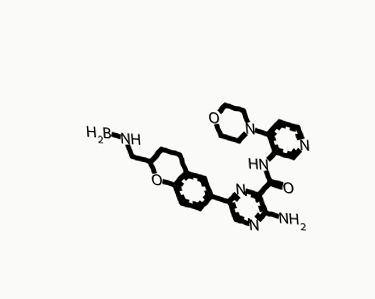 BNCC1CCc2cc(-c3cnc(N)c(C(=O)Nc4cnccc4N4CCOCC4)n3)ccc2O1